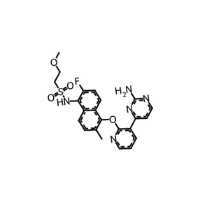 COCCS(=O)(=O)Nc1c(F)ccc2c(Oc3ncccc3-c3ccnc(N)n3)c(C)ccc12